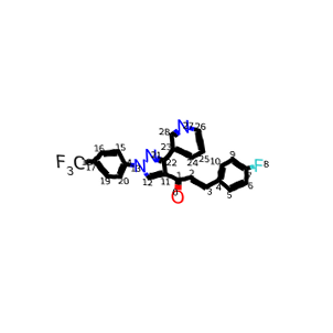 O=C(C=Cc1ccc(F)cc1)c1cn(-c2ccc(C(F)(F)F)cc2)nc1-c1cccnc1